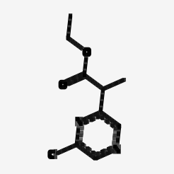 CCOC(=O)C(C)c1cncc(Cl)n1